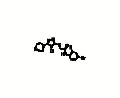 CCn1c(SCC(=O)Nc2ccc(Br)cc2F)nnc1-c1ccncc1